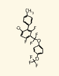 Cc1ccc(-c2c([O])cc(F)c(C(F)(F)Oc3ccc(OC(F)(F)F)cc3)c2F)cc1